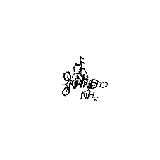 COC1=C(C)C(=O)N2CCN(C(=O)[C@@H](COCc3ccccc3)NC(=O)C(C)CN)CC12Cc1ccc(F)cc1